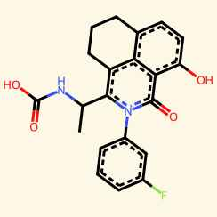 CC(NC(=O)O)c1c2c3c(ccc(O)c3c(=O)n1-c1cccc(F)c1)CCC2